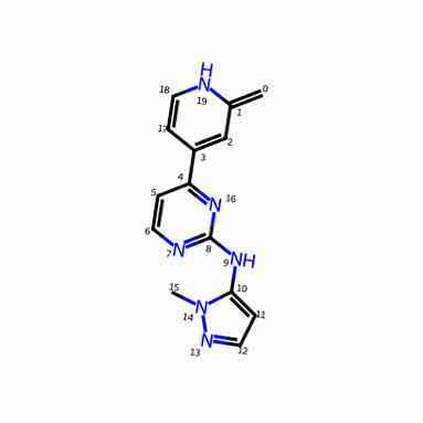 C=C1C=C(c2ccnc(Nc3ccnn3C)n2)C=CN1